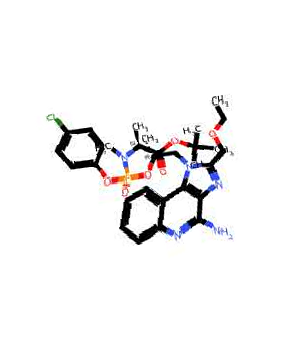 CCOCc1nc2c(N)nc3ccccc3c2n1C[C@@H](C)OP(=O)(Oc1ccc(Cl)cc1)N(C)[C@@H](C)C(=O)OC(C)(C)C